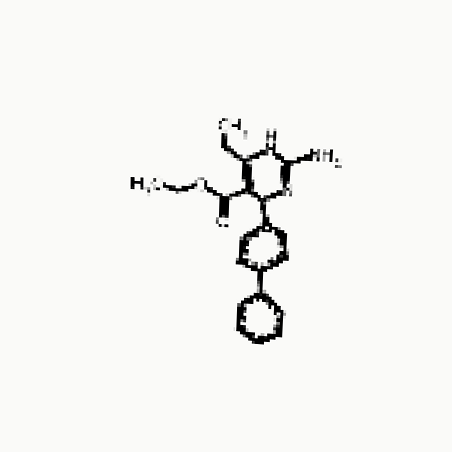 CCOC(=O)C1=C(CC)NC(N)=NC1c1ccc(-c2ccccc2)cc1